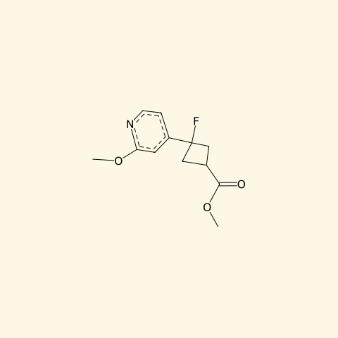 COC(=O)C1CC(F)(c2ccnc(OC)c2)C1